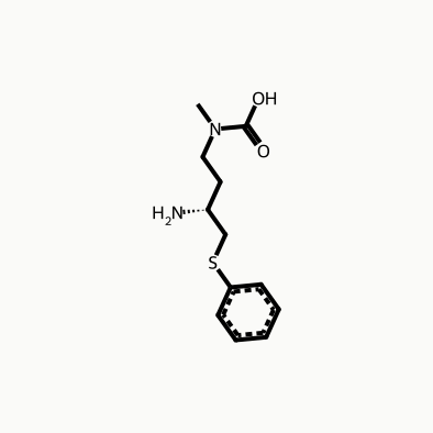 CN(CC[C@@H](N)CSc1ccccc1)C(=O)O